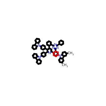 Cc1ccc2c(c1)c1cc(C)ccc1n2-c1ccc(-c2cc(-c3ccccc3-c3nc(-c4ccccc4)nc(-c4ccccc4)n3)c(-c3ccc(-n4c5ccccc5c5ccccc54)cc3)c(-c3ccc(-n4c5ccccc5c5ccccc54)cc3)n2)cc1